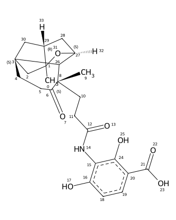 CC12C[C@@]34CCC(=O)[C@@](C)(CCC(=O)Nc5c(O)ccc(C(=O)O)c5O)C3[C@H](C[C@H]1C4)O2